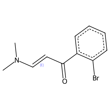 CN(C)/C=C/C(=O)c1ccccc1Br